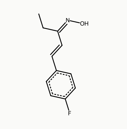 CCC(/C=C/c1ccc(F)cc1)=N/O